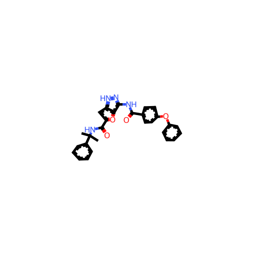 CC(C)(NC(=O)c1cc2[nH]nc(NC(=O)c3ccc(Oc4ccccc4)cc3)c2o1)c1ccccc1